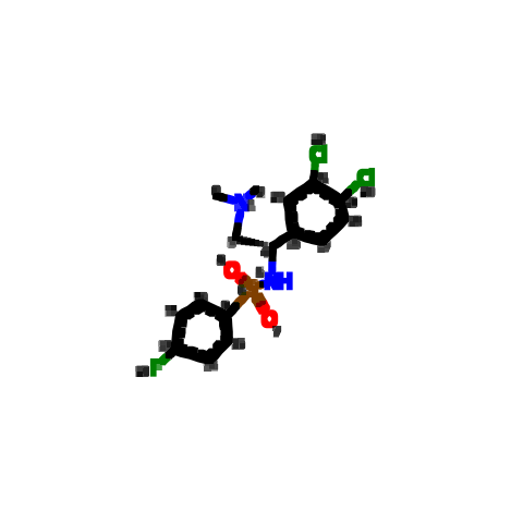 CN(C)C[C@@H](NS(=O)(=O)c1ccc(F)cc1)c1ccc(Cl)c(Cl)c1